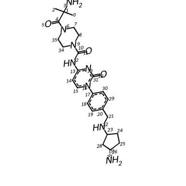 CC(C)(N)C(=O)N1CCN(C(=O)Nc2ccn(-c3ccc(CNC4CC[C@H](N)C4)cc3)c(=O)n2)CC1